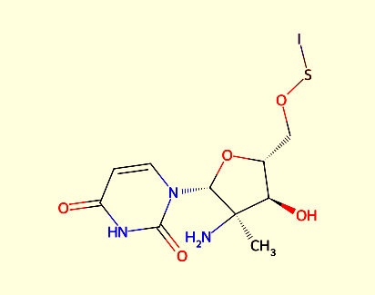 C[C@@]1(N)[C@H](O)[C@@H](COSI)O[C@H]1n1ccc(=O)[nH]c1=O